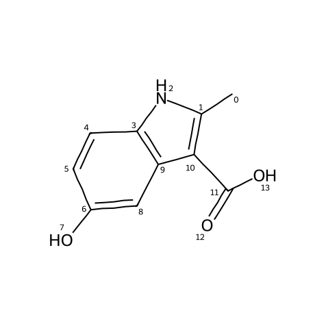 Cc1[nH]c2ccc(O)cc2c1C(=O)O